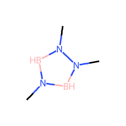 CN1BN(C)N(C)B1